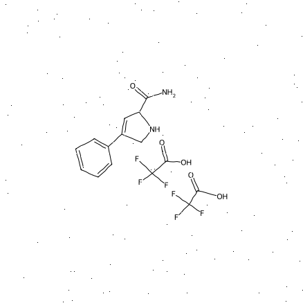 NC(=O)C1C=C(c2ccccc2)CN1.O=C(O)C(F)(F)F.O=C(O)C(F)(F)F